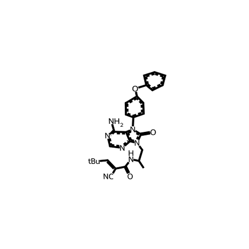 CC(Cn1c(=O)n(-c2ccc(Oc3ccccc3)cc2)c2c(N)ncnc21)NC(=O)C(C#N)=CC(C)(C)C